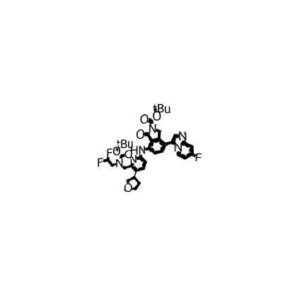 CC(C)(C)OC(=O)N(Cc1nc(Nc2ccc(-c3cnc4cc(F)ccn34)c3c2C(=O)N(C(=O)OC(C)(C)C)C3)ccc1[C@H]1CCOC1)CC(F)F